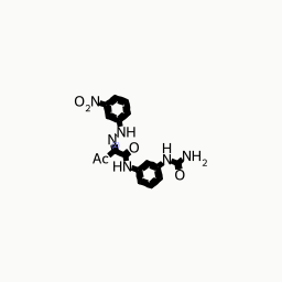 CC(=O)/C(=N/Nc1cccc([N+](=O)[O-])c1)C(=O)Nc1cccc(NC(N)=O)c1